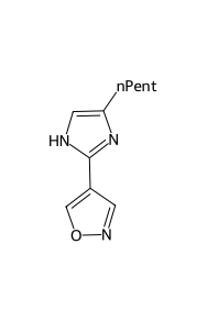 CCCCCc1c[nH]c(-c2cnoc2)n1